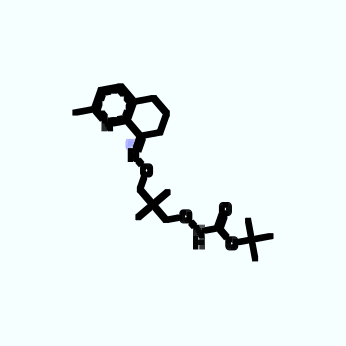 Cc1ccc2c(n1)/C(=N/OCC(C)(C)CONC(=O)OC(C)(C)C)CCC2